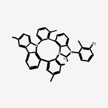 CCc1cccc(N2c3cccc4c3N(c3c(C)cc(C)cc3-c3cccc5c6cc(C)ccc6n(c35)-c3cccc(C)c3-4)[C@@H]2C)c1C